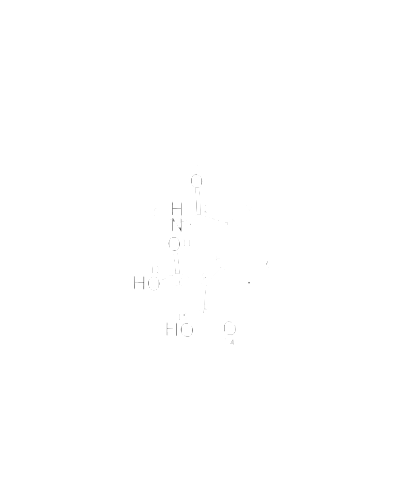 C=CC(=O)NC.CCCC(C(=O)O)C(=O)O